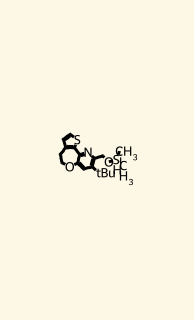 C[SiH](C)OCc1nc2c(cc1C(C)(C)C)OCCc1ccsc1-2